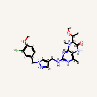 COc1ccc(Cn2cc(CNc3nc(C)c4c(n3)N(C)C(C(C)OC)C(=O)N4)cn2)cc1F